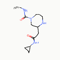 CCCNC(=O)N1CCNC(CC(=O)NC2CC2)C1